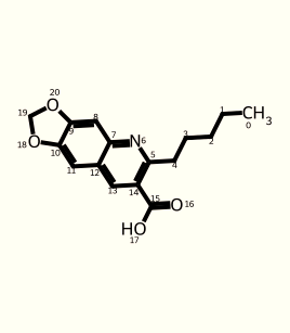 CCCCCc1nc2cc3c(cc2cc1C(=O)O)OCO3